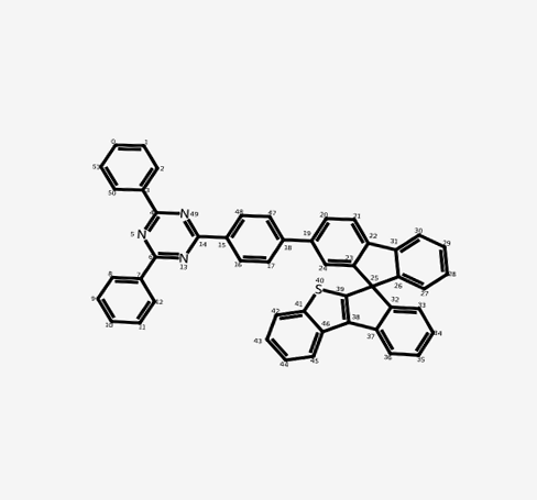 c1ccc(-c2nc(-c3ccccc3)nc(-c3ccc(-c4ccc5c(c4)C4(c6ccccc6-5)c5ccccc5-c5c4sc4ccccc54)cc3)n2)cc1